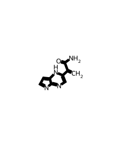 C=C(C(N)=O)c1cnc2nccc-2[nH]1